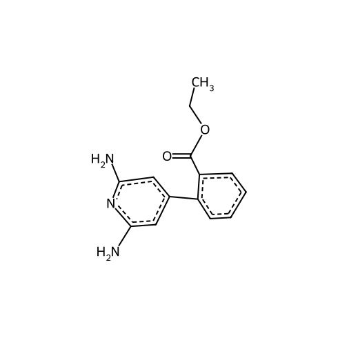 CCOC(=O)c1ccccc1-c1cc(N)nc(N)c1